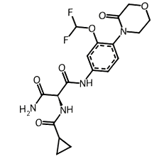 NC(=O)[C@H](NC(=O)C1CC1)C(=O)Nc1ccc(N2CCOCC2=O)c(OC(F)F)c1